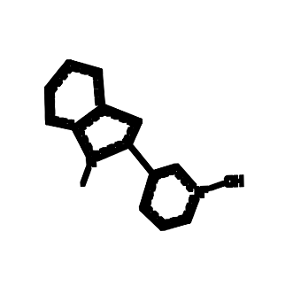 Cn1c(-c2ccc[n+](O)c2)cc2ccccc21